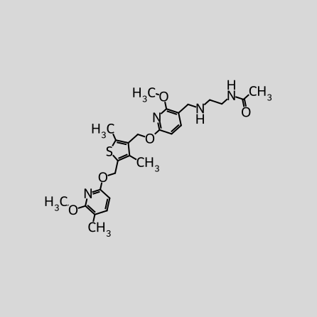 COc1nc(OCc2sc(C)c(COc3ccc(CNCCNC(C)=O)c(OC)n3)c2C)ccc1C